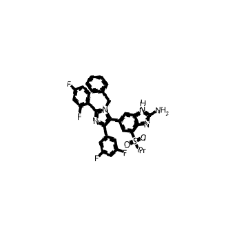 CC(C)S(=O)(=O)c1cc(-c2c(-c3cc(F)cc(F)c3)nc(-c3ccc(F)cc3F)n2Cc2ccccc2)cc2[nH]c(N)nc12